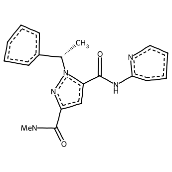 CNC(=O)c1cc(C(=O)Nc2ccccn2)n([C@@H](C)c2ccccc2)n1